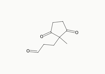 CC1(CCC=O)C(=O)CCC1=O